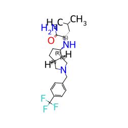 CC(C)C[C@H](N[C@@H]1CC[C@H]2CN(Cc3ccc(C(F)(F)F)cc3)C[C@H]21)C(N)=O